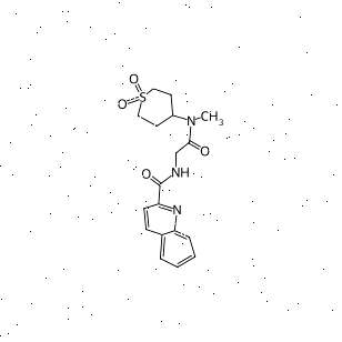 CN(C(=O)CNC(=O)c1ccc2ccccc2n1)C1CCS(=O)(=O)CC1